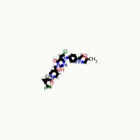 C[C@H]1CN[C@H](c2ccc(-n3c(Cl)cc4c(=O)n(CC5(O)CCN(C(=O)[C@@]6(C)C[C@@H]6C(F)F)CC5)cnc43)cc2)CO1